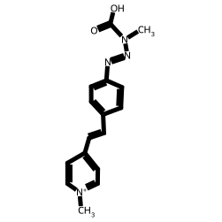 CN(/N=N/c1ccc(/C=C/c2cc[n+](C)cc2)cc1)C(=O)O